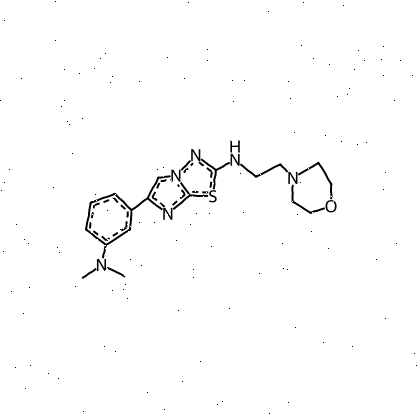 CN(C)c1cccc(-c2cn3nc(NCCN4CCOCC4)sc3n2)c1